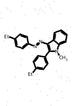 CCc1ccc(N=Nc2c(-c3ccc(CC)cc3)n(C)c3ccccc23)cc1